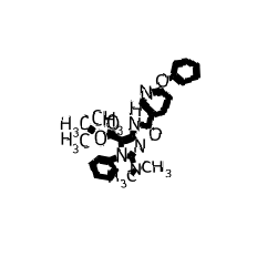 CN(C)c1nc(NC(=O)c2ccc(Oc3ccccc3)nc2)c(C(=O)OC(C)(C)C)n1-c1ccccc1